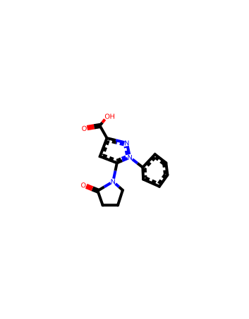 O=C(O)c1cc(N2CCCC2=O)n(-c2ccccc2)n1